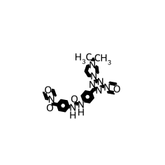 CC(C)N1CCCN(c2nc(-c3ccc(NC(=O)Nc4ccc(C(=O)N5CCOCC5)cc4)cc3)nc(N3CCOCC3)n2)CC1